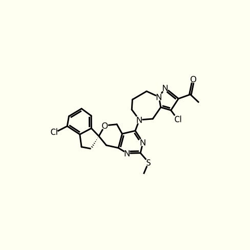 CSc1nc2c(c(N3CCCn4nc(C(C)=O)c(Cl)c4C3)n1)CO[C@@]1(CCc3c(Cl)cccc31)C2